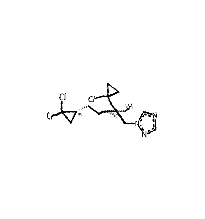 [2H][C@](CC[C@@H]1CC1(Cl)Cl)(Cn1cncn1)C1(Cl)CC1